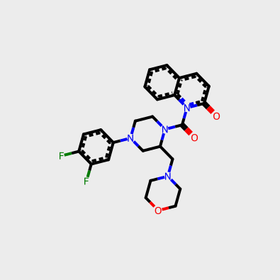 O=C(N1CCN(c2ccc(F)c(F)c2)CC1CN1CCOCC1)n1c(=O)ccc2ccccc21